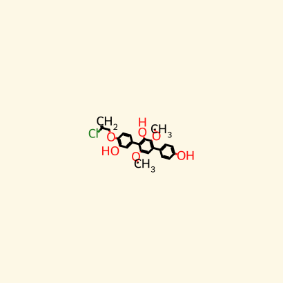 C=C(Cl)COc1ccc(-c2c(OC)cc(-c3ccc(O)cc3)c(OC)c2O)cc1O